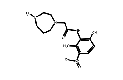 Cc1ccc([N+](=O)[O-])c(C)c1NC(=O)CN1CCCN(C)CC1